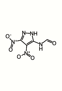 O=CNc1[nH]nc([N+](=O)[O-])c1[N+](=O)[O-]